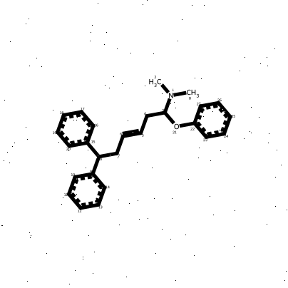 CN(C)C(CC=CCC(c1ccccc1)c1ccccc1)Oc1ccccc1